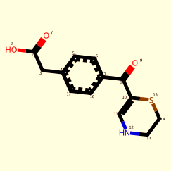 O=C(O)Cc1ccc(C(=O)C2=CNCCS2)cc1